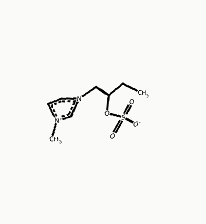 CCC(Cn1cc[n+](C)c1)OS(=O)(=O)[O-]